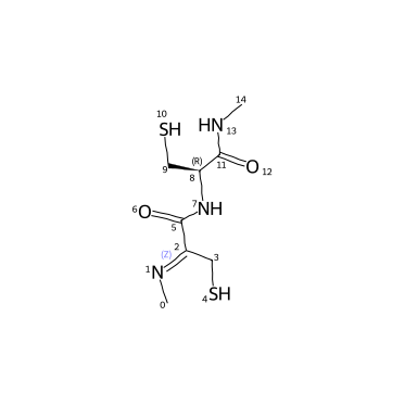 C/N=C(\CS)C(=O)N[C@@H](CS)C(=O)NC